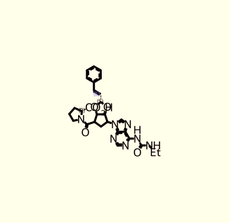 CCNC(=O)Nc1ncnc2c1ncn2C1CC(C(=O)N2CCC[C@@H]2C(=O)O)C2O[C@H](/C=C/c3ccccc3)OC21